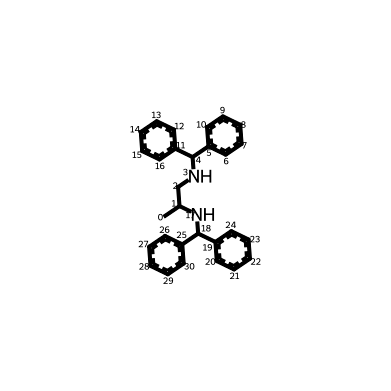 CC(CNC(c1ccccc1)c1ccccc1)NC(c1ccccc1)c1ccccc1